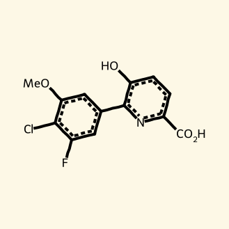 COc1cc(-c2nc(C(=O)O)ccc2O)cc(F)c1Cl